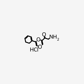 Cl.NCC(=O)C1=COC=C(C2=CC=CCC2)O1